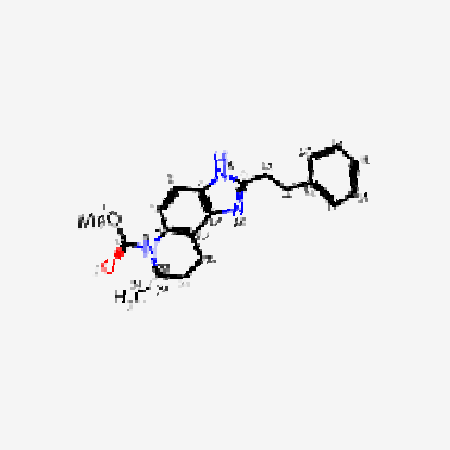 COC(=O)N1c2ccc3[nH]c(CCc4ccccc4)nc3c2CC[C@@H]1C